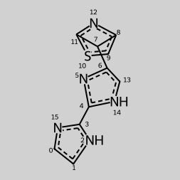 c1c[nH]c(-c2nc(C3c4csc3n4)c[nH]2)n1